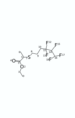 CCOC(=O)C(C)SCCCC(F)(F)C(F)C(F)F